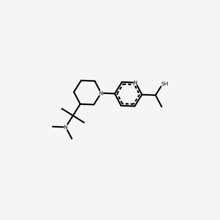 CC(S)c1ccc(N2CCCC(C(C)(C)N(C)C)C2)cn1